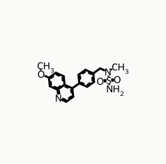 COc1ccc2c(-c3ccc(CN(C)S(N)(=O)=O)cc3)ccnc2c1